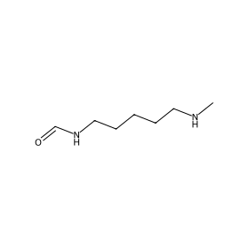 CNCCCCCNC=O